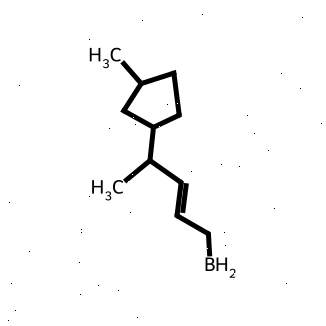 BCC=CC(C)C1CCC(C)C1